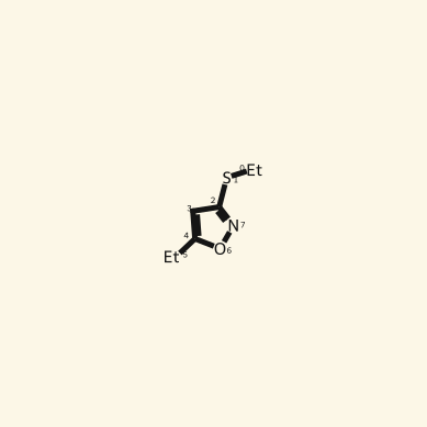 CCSc1cc(CC)on1